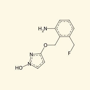 Nc1cccc(CF)c1COc1ccn(O)n1